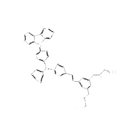 CCCCc1cc(/C=C/c2ccc(N(c3ccccc3)c3ccc(-n4c5ccccc5c5ccccc54)cc3)cc2)cc(CCCC)c1